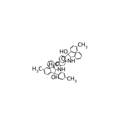 Cc1ccc(C(O)(c2ccc(C)cc2)[C@H](NC(=O)CC(=O)N[C@H](c2ccccc2)C(O)(c2ccc(C)cc2)c2ccc(C)cc2)c2ccccc2)cc1